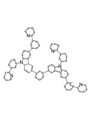 C1=CC2C(C=C1c1cccc(-c3ccc4c(c3)c3cc(-c5cccc(-c6ccccn6)c5)ccc3n4-c3cccc(-c4ccccn4)c3)c1)c1cc(-c3cccc(-c4ccccn4)c3)ccc1N2c1cccc(-c2ccccn2)c1